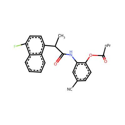 CCCC(=O)Oc1ccc(C#N)cc1NC(=O)C(C)c1ccc(F)c2ccccc12